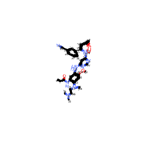 C=CC(=O)Nc1cc(Nc2cc(N3OCC[C@@H]3c3cccc(C#N)c3)ncn2)c(OC)cc1N(C)CCN(C)C